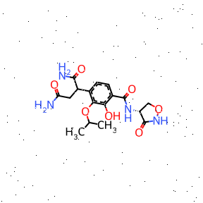 CC(C)Oc1c(C(CC(N)=O)C(N)=O)ccc(C(=O)N[C@@H]2CONC2=O)c1O